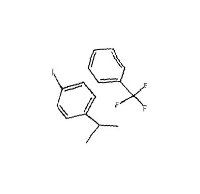 CC(C)c1ccc(I)cc1.FC(F)(F)c1ccccc1